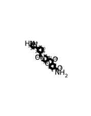 NC(=O)c1ccc2c(c1)C(=O)CC1(CCN(C(=O)c3cccc(-c4cc[nH]n4)c3)CC1)O2